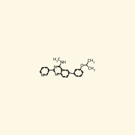 CNc1nc(-c2cccnc2)nc2ccc(-c3cccc(OC(C)C)c3)cc12